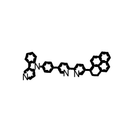 c1cc2ccc3c4c(ccc(c1)c24)=C(c1ccc(-c2ccc(-c4ccc(-n5c6ccccc6c6cnccc65)cc4)cn2)nc1)CC3